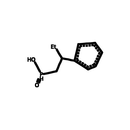 CCC(C[PH](=O)O)c1ccccc1